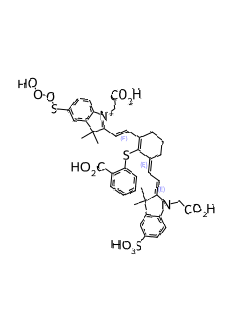 CC1(C)C(/C=C/C2=C(Sc3ccccc3C(=O)O)C(=C/C=C3/N(CC(=O)O)c4ccc(S(=O)(=O)O)cc4C3(C)C)/CCC2)=[N+](CC(=O)O)c2ccc(SOOO)cc21